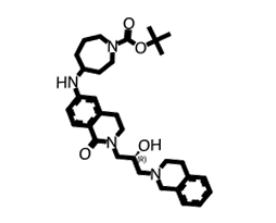 CC(C)(C)OC(=O)N1CCCC(Nc2ccc3c(c2)CCN(C[C@H](O)CN2CCc4ccccc4C2)C3=O)CC1